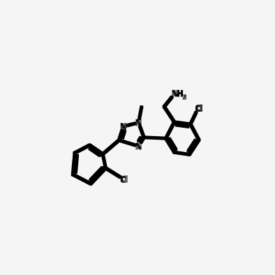 Cn1nc(-c2ccccc2Cl)nc1-c1cccc(Cl)c1CN